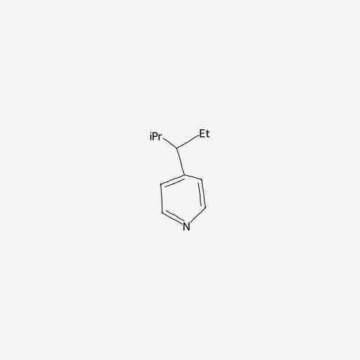 CCC(c1ccncc1)C(C)C